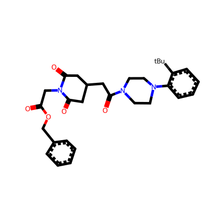 CC(C)(C)c1ccccc1N1CCN(C(=O)CC2CC(=O)N(CC(=O)OCc3ccccc3)C(=O)C2)CC1